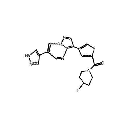 O=C(c1cc(-c2cnn3cc(-c4cn[nH]c4)cnc23)cs1)N1CCC(F)CC1